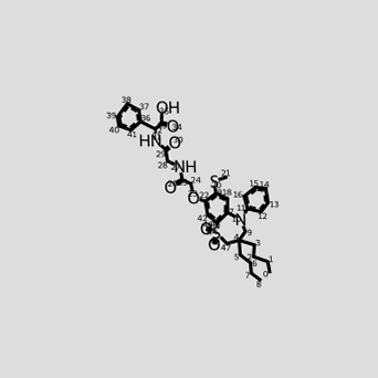 CCCCC1(CCCC)CN(c2ccccc2)c2cc(SC)c(OCC(=O)NCC(=O)N[C@@H](C(=O)O)c3ccccc3)cc2S(=O)(=O)C1